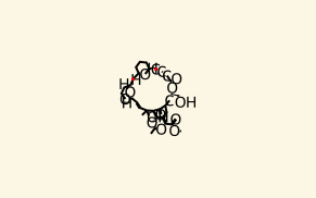 COC(=O)/C=C1\CC2C[C@H](CO)OC(=O)CCC[C@@H]3CCC[C@H](C[C@@H]4CCO[C@H](/C=C/C(C)(C)[C@](O)(C2=O)[C@H]1OC(C)=O)O4)O3